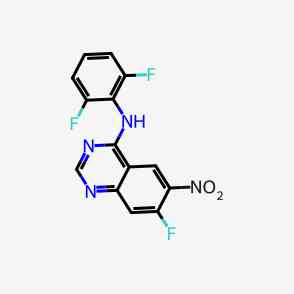 O=[N+]([O-])c1cc2c(Nc3c(F)cccc3F)ncnc2cc1F